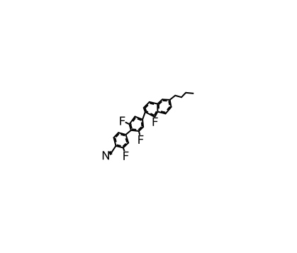 CCCCc1ccc2c(F)c(-c3cc(F)c(-c4ccc(C#N)c(F)c4)c(F)c3)ccc2c1